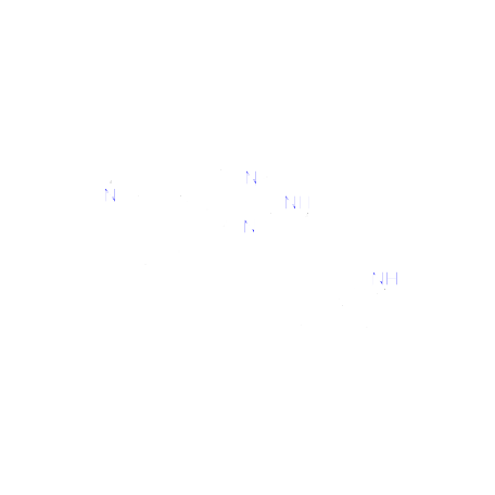 Cc1ccncc1-c1ccc2nc(NC(C)Cc3cccc(C(C)N)c3)ncc2c1